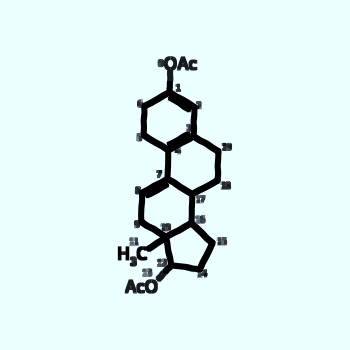 CC(=O)OC1=CC2=C(CC1)C1=CCC3(C)C(OC(C)=O)CCC3C1CC2